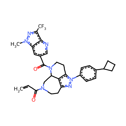 C=CC(=O)N1CCc2nn(-c3ccc(C4CCC4)cc3)c3c2C(C1)N(C(=O)c1cnc2c(C(F)(F)F)nn(C)c2c1)CC3